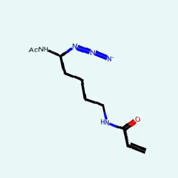 C=CC(=O)NCCCCC(N=[N+]=[N-])NC(C)=O